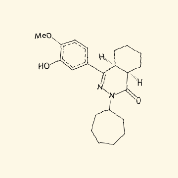 COc1ccc(C2=NN(C3CCCCCC3)C(=O)[C@@H]3CCCC[C@H]23)cc1O